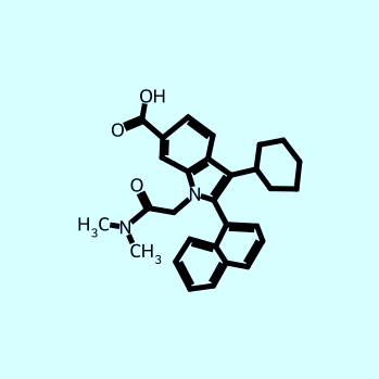 CN(C)C(=O)Cn1c(-c2cccc3ccccc23)c(C2CCCCC2)c2ccc(C(=O)O)cc21